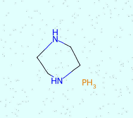 C1CNCCN1.P